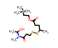 CC(CCC(=O)OCC[Si](C)(C)C)SSCCC(=O)N(C)C(C)O